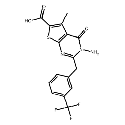 Cc1c(C(=O)O)sc2nc(Cc3cccc(C(F)(F)F)c3)n(N)c(=O)c12